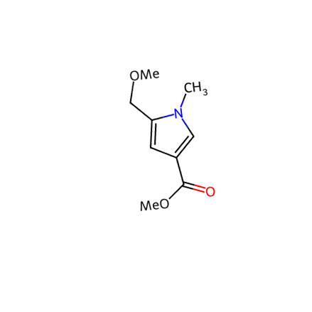 COCc1cc(C(=O)OC)cn1C